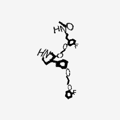 CC(=O)NCCc1ccc(F)cc1OCCOC1CNCCC1c1ccc(OCCCOc2ccccc2F)cc1